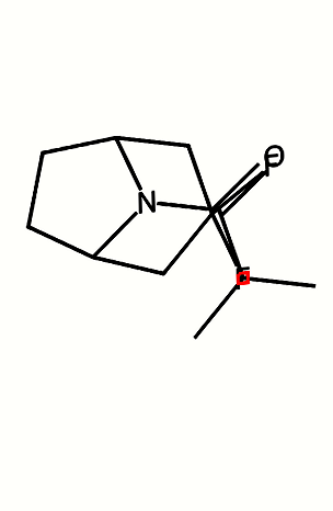 CC(C)C(=O)N1C2CCC1CC(F)(F)C2